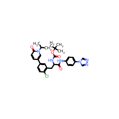 CC(C)n1cc(-c2ccc(Cl)c(CC(NC(=O)OC(C)(C)C)C(=O)Nc3ccc(-n4cnnc4)cc3)c2)ccc1=O